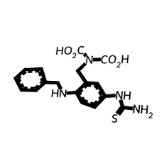 NC(=S)Nc1ccc(NCc2ccccc2)c(CN(C(=O)O)C(=O)O)c1